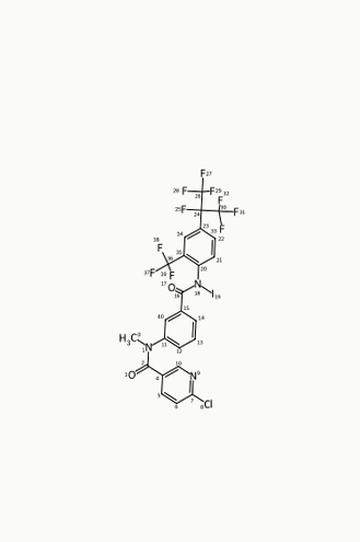 CN(C(=O)c1ccc(Cl)nc1)c1cccc(C(=O)N(I)c2ccc(C(F)(C(F)(F)F)C(F)(F)F)cc2C(F)(F)F)c1